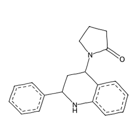 O=C1CCCN1C1CC(c2ccccc2)Nc2ccccc21